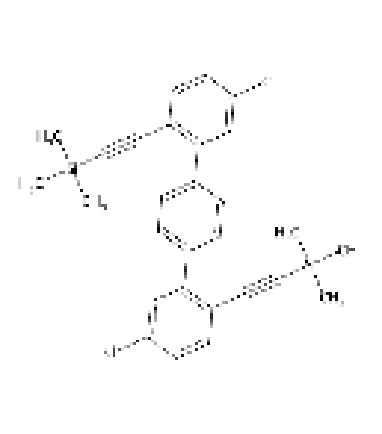 C[Si](C)(C)C#Cc1ccc(Cl)cc1-c1ccc(-c2cc(Cl)ccc2C#C[Si](C)(C)C)cc1